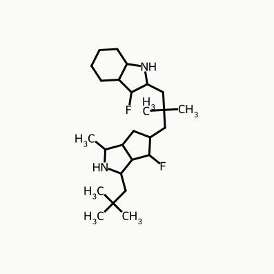 CC1NC(CC(C)(C)C)C2C(F)C(CC(C)(C)CC3NC4CCCCC4C3F)CC12